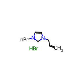 Br.C=CCN1C=CN(CCC)C1